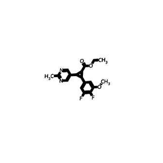 CCOC(=O)C1C(c2cnc(C)nc2)C1c1cc(F)c(F)c(OC)c1